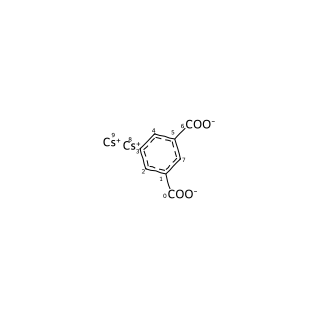 O=C([O-])c1cccc(C(=O)[O-])c1.[Cs+].[Cs+]